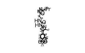 Cc1nc(NC(=O)NCCc2nnc(C(C)C)o2)sc1-c1ccc(S(C)(=O)=O)c(F)c1